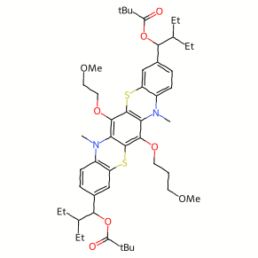 CCC(CC)C(OC(=O)C(C)(C)C)c1ccc2c(c1)sc1c(OCCOC)c3c(sc4cc(C(OC(=O)C(C)(C)C)C(CC)CC)ccc4n3C)c(OCCCOC)c1n2C